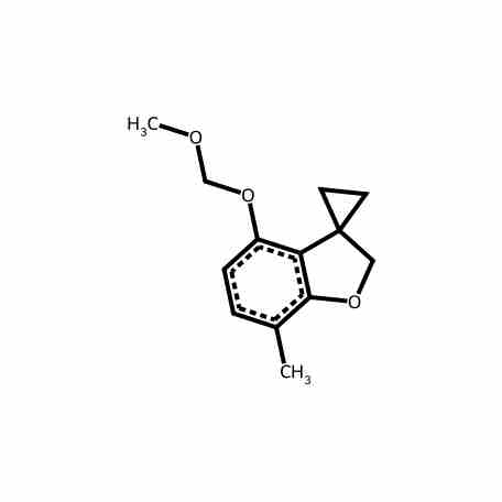 COCOc1ccc(C)c2c1C1(CC1)CO2